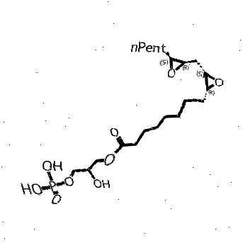 CCCCC[C@@H]1O[C@@H]1C[C@@H]1O[C@@H]1CCCCCCCC(=O)OCC(O)COP(=O)(O)O